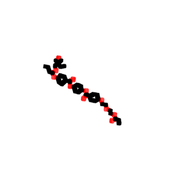 C=CC(=O)OCCOCCOc1ccc(C(=O)Oc2ccc(OC(=O)c3ccc(OC(CCC)OCC4(CC)COC4)cc3)cc2)cc1